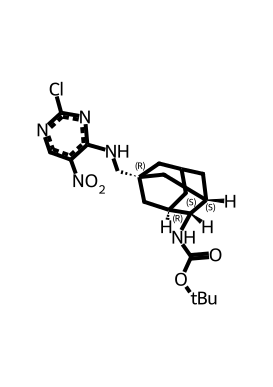 CC(C)(C)OC(=O)N[C@@H]1[C@@H]2CC3C[C@H]1C[C@](CNc1nc(Cl)ncc1[N+](=O)[O-])(C3)C2